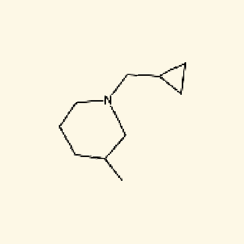 CC1CCCN(CC2CC2)C1